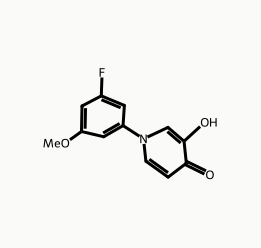 COc1cc(F)cc(-n2ccc(=O)c(O)c2)c1